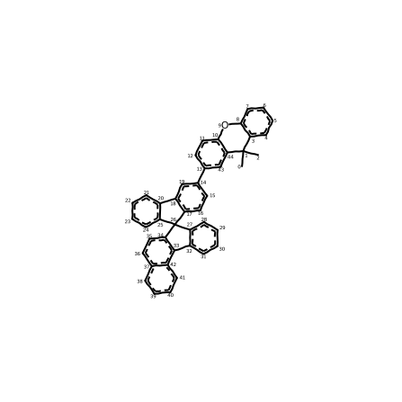 CC1(C)c2ccccc2Oc2ccc(-c3ccc4c(c3)-c3ccccc3C43c4ccccc4-c4c3ccc3ccccc43)cc21